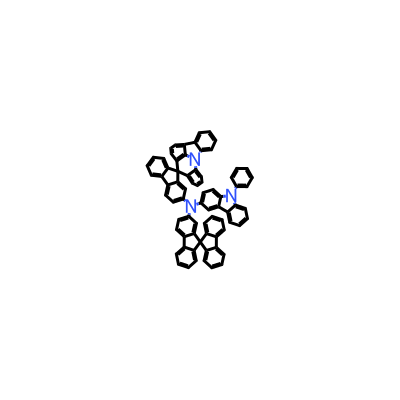 c1ccc(-n2c3ccccc3c3cc(N(c4ccc5c(c4)C4(c6ccccc6-c6ccccc64)c4ccccc4-5)c4ccc5c(c4)C4(c6ccccc6-5)c5ccccc5-n5c6ccccc6c6cccc4c65)ccc32)cc1